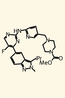 COC(=O)N1CCN(Cc2ccc(Nc3ncc(F)c(-c4ccc5nn(C)c(C(C)C)c5c4)n3)nc2)CC1